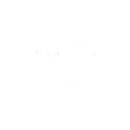 O.O.O.O=Cc1ccc(S(=O)(=O)O)c(Cl)c1